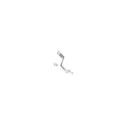 CCC=O.[Ta]